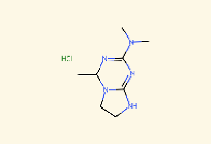 CC1N=C(N(C)C)N=C2NCCN21.Cl